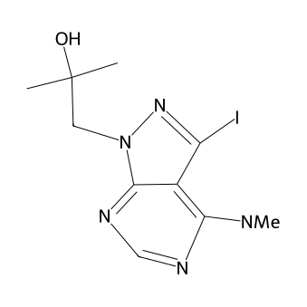 CNc1ncnc2c1c(I)nn2CC(C)(C)O